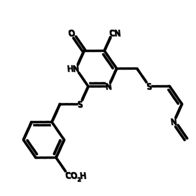 C=N/C=C\SCc1nc(SCc2cccc(C(=O)O)c2)[nH]c(=O)c1C#N